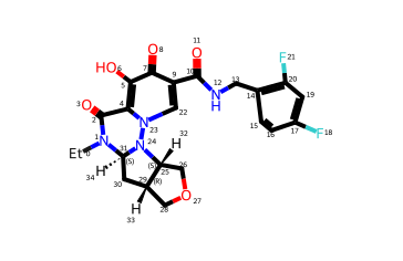 CCN1C(=O)c2c(O)c(=O)c(C(=O)NCc3ccc(F)cc3F)cn2N2[C@@H]3COC[C@@H]3C[C@@H]12